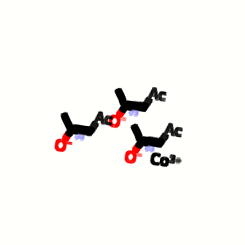 CC(=O)/C=C(\C)[O-].CC(=O)/C=C(\C)[O-].CC(=O)/C=C(\C)[O-].[Co+3]